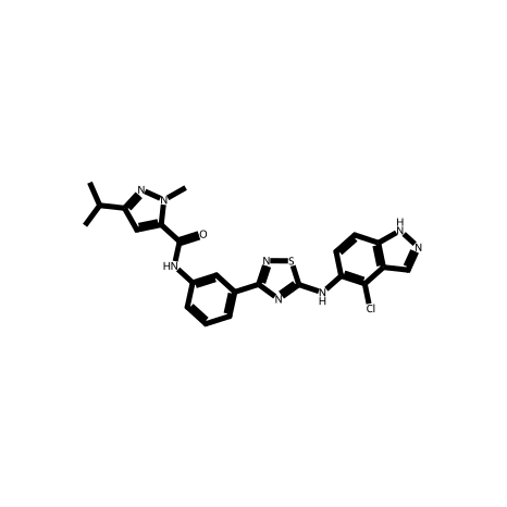 CC(C)c1cc(C(=O)Nc2cccc(-c3nsc(Nc4ccc5[nH]ncc5c4Cl)n3)c2)n(C)n1